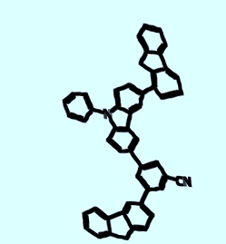 N#Cc1cc(-c2ccc3c(c2)-c2ccccc2C3)cc(-c2ccc3c(c2)c2cc(-c4cccc5c4Cc4ccccc4-5)ccc2n3-c2ccccc2)c1